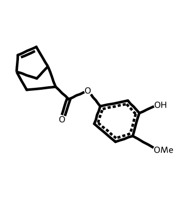 COc1ccc(OC(=O)C2CC3C=CC2C3)cc1O